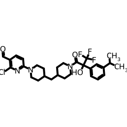 CC(C)c1cccc(C(O)(C(=O)N2CCC(CC3CCN(c4ccc(C=O)c(Cl)n4)CC3)CC2)C(F)(F)F)c1